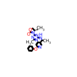 CC[C@H]1COC(=O)N1c1nc(C)nc(NC(C)c2ccc(Oc3ccccc3)nc2)n1